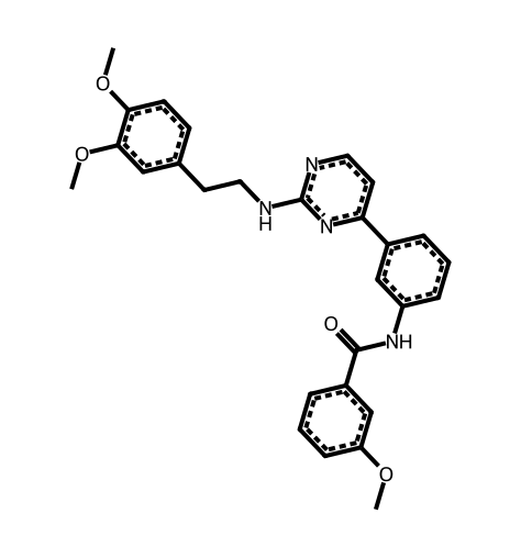 COc1cccc(C(=O)Nc2cccc(-c3ccnc(NCCc4ccc(OC)c(OC)c4)n3)c2)c1